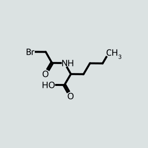 CCCCC(NC(=O)CBr)C(=O)O